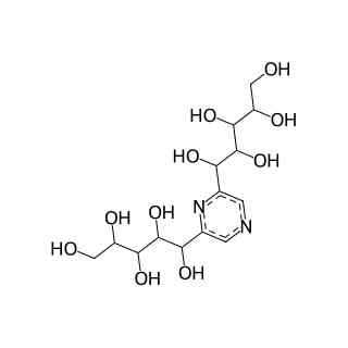 OCC(O)C(O)C(O)C(O)c1cncc(C(O)C(O)C(O)C(O)CO)n1